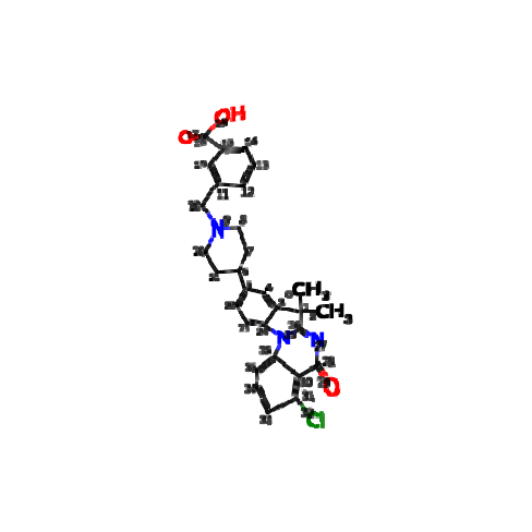 CC1(C)c2cc(C3CCN(Cc4cccc(C(=O)O)c4)CC3)ccc2-n2c1nc(=O)c1c(Cl)cccc12